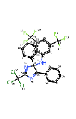 FC(F)(F)c1cc(NC2(c3ccccc3)N=C(C(Cl)(Cl)Cl)N=C2c2ccccc2)cc(C(F)(F)F)c1